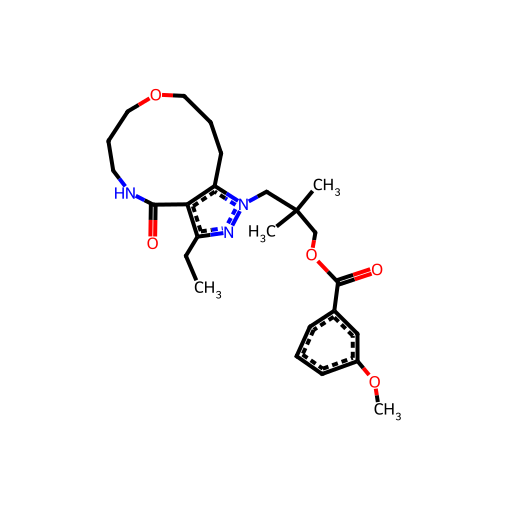 CCc1nn(CC(C)(C)COC(=O)c2cccc(OC)c2)c2c1C(=O)NCCCOCCC2